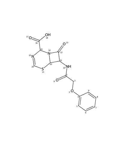 O=C(COc1ccccc1)NC1C(=O)N2C(C(=O)O)N=CSC12